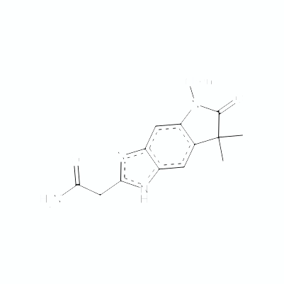 CCCCCN1C(=O)C(C)(C)c2cc3[nH]c(CC(N)=O)nc3cc21